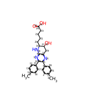 Cc1ccc(-c2nc3c(nc2-c2ccc(C)cc2)NC(CCCCC(=O)O)C(O)C3)cc1